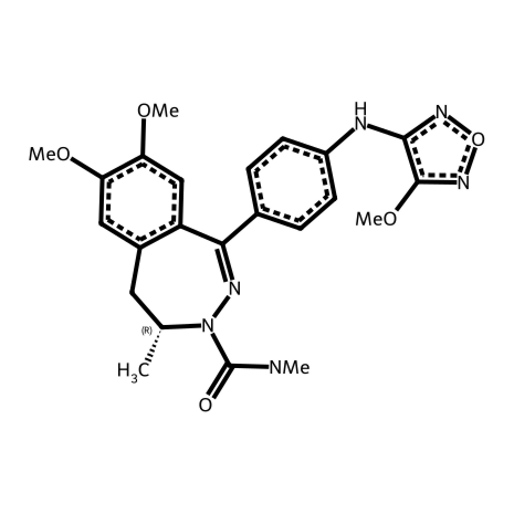 CNC(=O)N1N=C(c2ccc(Nc3nonc3OC)cc2)c2cc(OC)c(OC)cc2C[C@H]1C